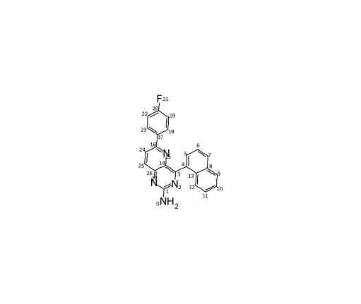 Nc1nc(-c2cccc3ccccc23)c2nc(-c3ccc(F)cc3)ccc2n1